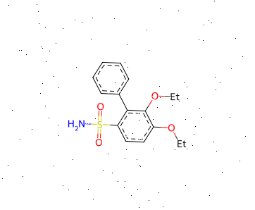 CCOc1ccc(S(N)(=O)=O)c(-c2ccccc2)c1OCC